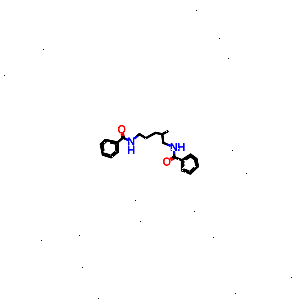 CC(CCCNC(=O)c1ccccc1)CNC(=O)c1ccccc1